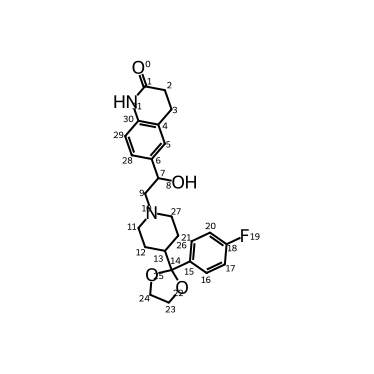 O=C1CCc2cc(C(O)CN3CCC(C4(c5ccc(F)cc5)OCCO4)CC3)ccc2N1